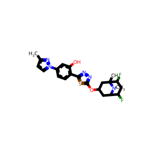 Cc1ccn(-c2ccc(-c3nnc(OC4CC5C(F)CC(F)C(C)(C4)N5C)s3)c(O)c2)n1